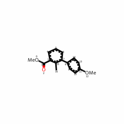 COC(=O)c1cccc(-c2ccc(OC)cc2)c1C